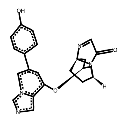 O=C1C=N[C@]23CC[C@H](C[C@@H](Oc4cc(-c5ccc(O)cc5)cn5cncc45)C2)N13